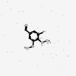 COc1cc(C=O)cc(F)c1OC